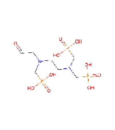 O=CCN(CCN(CP(=O)(O)O)CP(=O)(O)O)CP(=O)(O)O